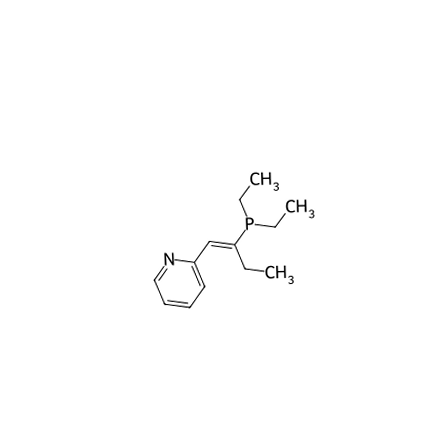 CC/C(=C\c1ccccn1)P(CC)CC